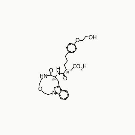 O=C(O)C[C@@H](CCCc1ccc(OCCO)cc1)C(=O)N[C@H]1Cc2cn(c3ccccc23)CCOCCNC1=O